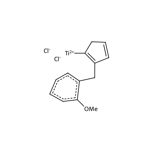 COc1ccccc1CC1=[C]([Ti+2])CC=C1.[Cl-].[Cl-]